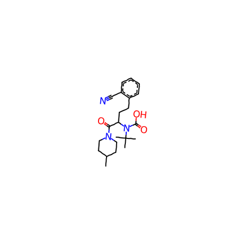 CC1CCN(C(=O)C(CCc2ccccc2C#N)N(C(=O)O)C(C)(C)C)CC1